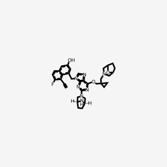 C#Cc1c(F)ccc2cc(O)cc(Cn3cnc4c(OCC5(CN6CC7CCC(C6)O7)CC5)nc(N5C[C@H]6CC[C@@H](C5)N6)nc43)c12